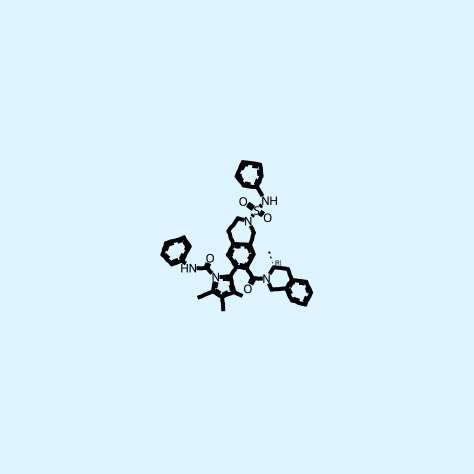 Cc1c(C)c(-c2cc3c(cc2C(=O)N2Cc4ccccc4C[C@H]2C)CN(S(=O)(=O)Nc2ccccc2)CC3)n(C(=O)Nc2ccccc2)c1C